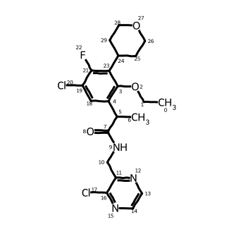 CCOc1c(C(C)C(=O)NCc2nccnc2Cl)cc(Cl)c(F)c1C1CCOCC1